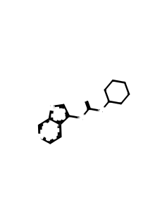 O=C(Nc1c[nH]c2cnccc12)NC1CCCCC1